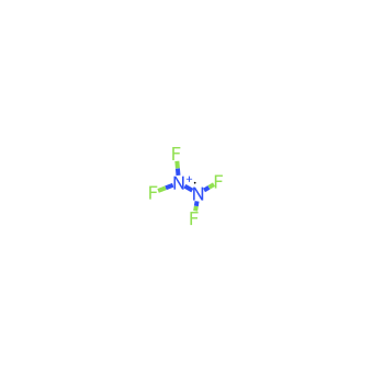 FN(F)[N+](F)F